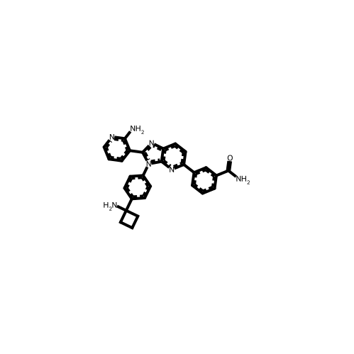 NC(=O)c1cccc(-c2ccc3nc(-c4cccnc4N)n(-c4ccc(C5(N)CCC5)cc4)c3n2)c1